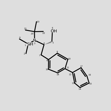 C[SiH](C)N([C@H](CO)Cc1ccc(-c2ccccc2)cc1)C(C)(C)C